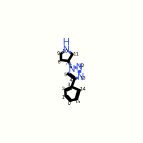 c1ccc(-c2cn(C3CCNC3)nn2)cc1